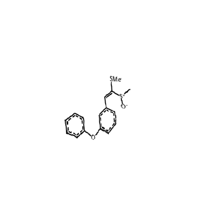 CSC(=Cc1cccc(Oc2ccccc2)c1)[S+](C)[O-]